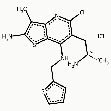 Cc1c(N)sc2c(NCc3cccs3)c(C[C@H](C)N)c(Cl)nc12.Cl